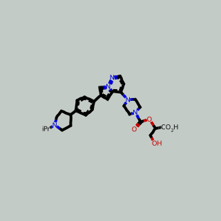 CC(C)N1CCC(c2ccc(-c3cc4c(N5CCN(C(=O)OC(CO)C(=O)O)CC5)ccnn4c3)cc2)CC1